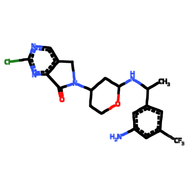 CC(NC1CC(N2Cc3cnc(Cl)nc3C2=O)CCO1)c1cc(N)cc(C(F)(F)F)c1